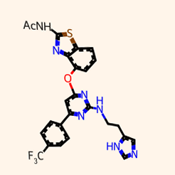 CC(=O)Nc1nc2c(Oc3cc(-c4ccc(C(F)(F)F)cc4)nc(NCCc4cnc[nH]4)n3)cccc2s1